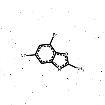 N#Cc1cc(Br)c2oc(N)nc2c1